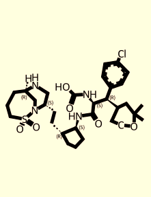 CC1(C)CC([C@H](c2ccc(Cl)cc2)[C@H](NC(=O)O)C(=O)N[C@H]2CCC[C@@H]2CC[C@H]2CN[C@@H]3CCCS(=O)(=O)N2C3)CCO1